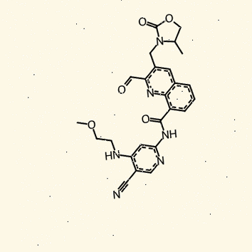 COCCNc1cc(NC(=O)c2cccc3cc(CN4C(=O)OCC4C)c(C=O)nc23)ncc1C#N